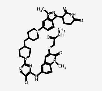 CNC(=O)COc1cc2cc(Nc3nc(N4CCC(CC5CCN(c6ccc7c(C8CCC(=O)NC8=O)nn(C)c7c6)CC5)CC4)ncc3Cl)ccc2n(C)c1=O